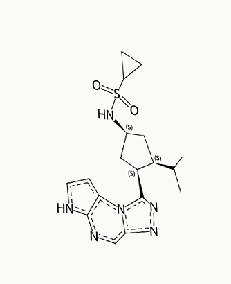 CC(C)[C@@H]1C[C@H](NS(=O)(=O)C2CC2)C[C@@H]1c1nnc2cnc3[nH]ccc3n12